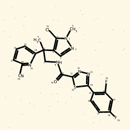 Cn1ncc(C(C)(CNC(=O)c2nnc(-c3ccc(F)cc3F)s2)c2cccc(C#N)n2)c1Cl